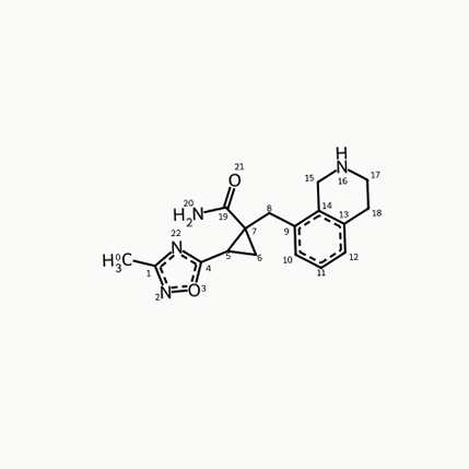 Cc1noc(C2CC2(Cc2cccc3c2CNCC3)C(N)=O)n1